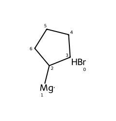 Br.[Mg][CH]1CCCC1